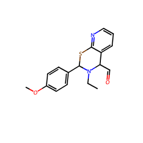 CCN1C(C=O)c2cccnc2SC1c1ccc(OC)cc1